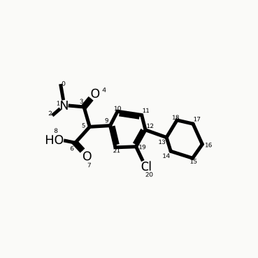 CN(C)C(=O)C(C(=O)O)c1ccc(C2CCCCC2)c(Cl)c1